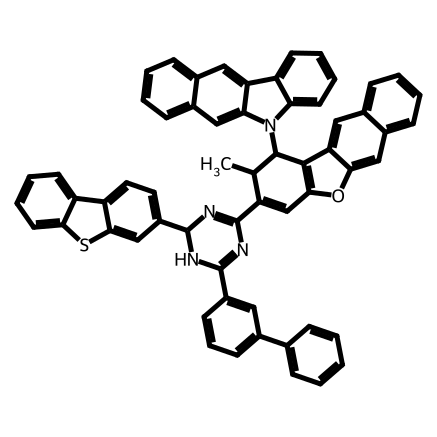 CC1C(C2=NC(c3ccc4c(c3)sc3ccccc34)NC(c3cccc(-c4ccccc4)c3)=N2)=Cc2oc3cc4ccccc4cc3c2C1n1c2ccccc2c2cc3ccccc3cc21